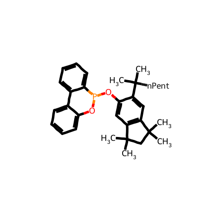 CCCCCC(C)(C)c1cc2c(cc1OP1Oc3ccccc3-c3ccccc31)C(C)(C)CC2(C)C